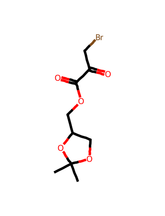 CC1(C)OCC(COC(=O)C(=O)CBr)O1